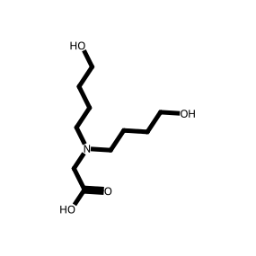 O=C(O)CN(CCCCO)CCCCO